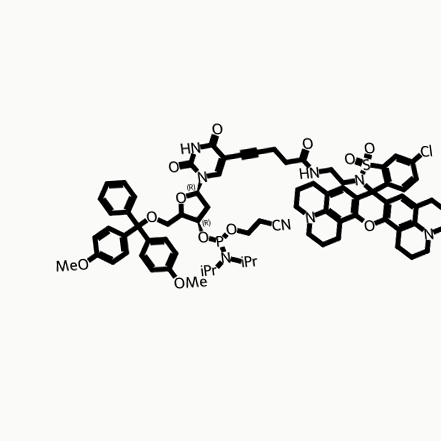 COc1ccc(C(OCC2O[C@@H](n3cc(C#CCCC(=O)NCCN4C5(c6ccc(Cl)cc6S4(=O)=O)c4cc6c7c(c4Oc4c5cc5c8c4CCCN8CCC5)CCCN7CCC6)c(=O)[nH]c3=O)C[C@H]2OP(OCCC#N)N(C(C)C)C(C)C)(c2ccccc2)c2ccc(OC)cc2)cc1